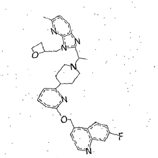 Cc1ccc2nc(C(C)N3CCC(c4cccc(OCc5ccnc6cc(F)ccc56)n4)CC3)n(CC3CCO3)c2n1